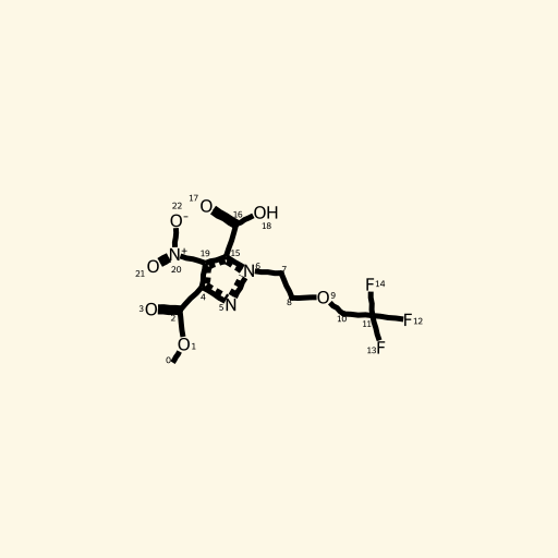 COC(=O)c1nn(CCOCC(F)(F)F)c(C(=O)O)c1[N+](=O)[O-]